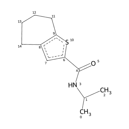 CC(C)NC(=O)c1cc2c(s1)CCCC2